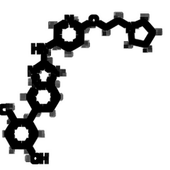 Oc1ccc(Cl)c(-c2ccc3nc(Nc4ccc(OCCN5CCCC5)nc4)nn3c2)c1